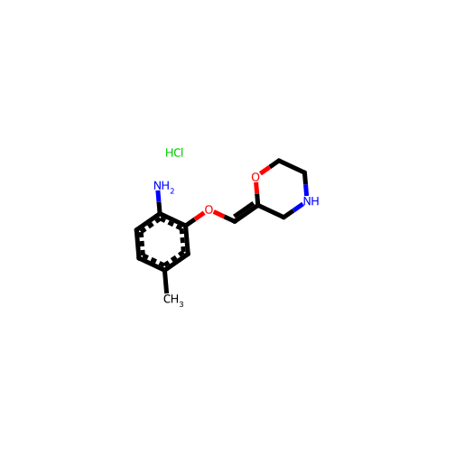 Cc1ccc(N)c(OC=C2CNCCO2)c1.Cl